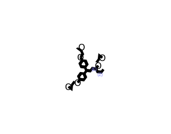 C/C=C\C(=C/C=C(c1ccc(OCC2CO2)cc1)c1ccc(OCC2CO2)cc1)OCC1CO1